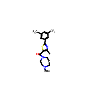 CCCCN1CCCN(C(=O)c2sc(-c3cc(C(F)(F)F)cc(C(F)(F)F)c3)nc2C)CC1